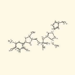 Cc1cn([C@H]2CC(O)[C@@H](CO[P@](=O)(S)OC3C[C@H](n4ccc([N+](=O)[O-])c4)O[C@@H]3CO)O2)c(=O)[nH]c1=O